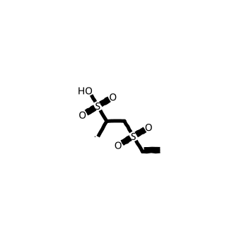 [CH2]C(CS(=O)(=O)C=C)S(=O)(=O)O